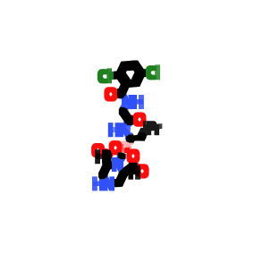 CC(C)C[C@H](NC(=O)CNC(=O)c1cc(Cl)ccc1Cl)B1OC(=O)[C@H]2CNC[C@H](C(=O)O1)N2C